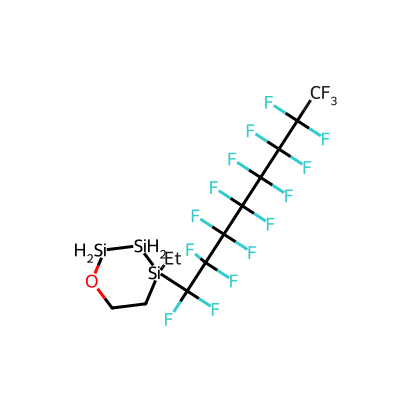 CC[Si]1(C(F)(F)C(F)(F)C(F)(F)C(F)(F)C(F)(F)C(F)(F)C(F)(F)C(F)(F)F)CCO[SiH2][SiH2]1